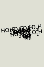 O=C(O)c1ccnc(-c2cc(C(=O)O)ccn2)c1.O=C(O)c1ccnc(-c2cc(C(=O)O)ccn2)c1.O=C(O)c1ccnc(-c2cc(C(=O)O)ccn2)c1.[Ru]